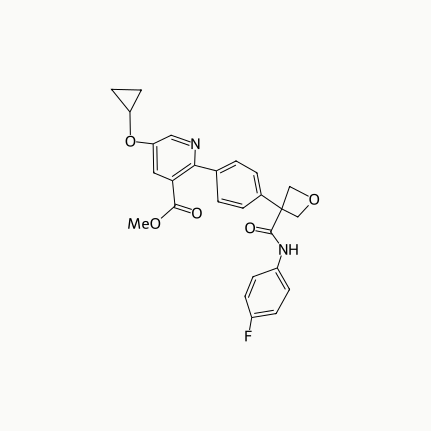 COC(=O)c1cc(OC2CC2)cnc1-c1ccc(C2(C(=O)Nc3ccc(F)cc3)COC2)cc1